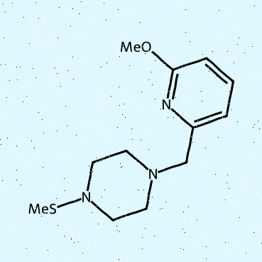 COc1cccc(CN2CCN(SC)CC2)n1